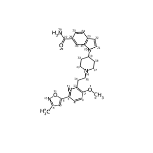 COc1ccc(-c2cc(C)no2)nc1CCN1CCC(n2ccc3ccc(C(N)=O)cc32)CC1